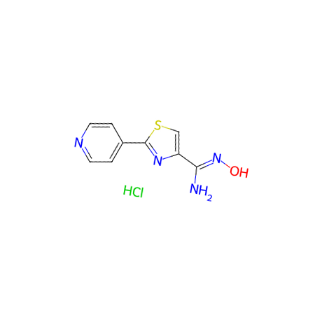 Cl.NC(=NO)c1csc(-c2ccncc2)n1